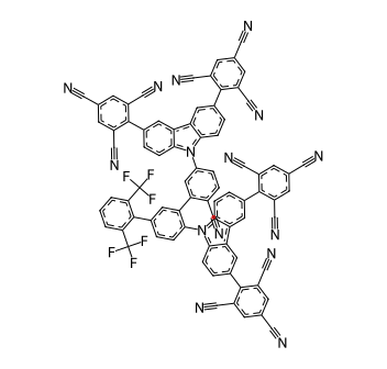 N#Cc1cc(C#N)c(-c2ccc3c(c2)c2cc(-c4c(C#N)cc(C#N)cc4C#N)ccc2n3-c2ccc(C#N)c(-c3cc(-c4c(C(F)(F)F)cccc4C(F)(F)F)ccc3-n3c4ccc(-c5c(C#N)cc(C#N)cc5C#N)cc4c4cc(-c5c(C#N)cc(C#N)cc5C#N)ccc43)c2)c(C#N)c1